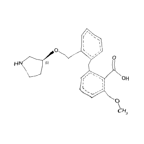 COc1cccc(-c2ccccc2CO[C@H]2CCNC2)c1C(=O)O